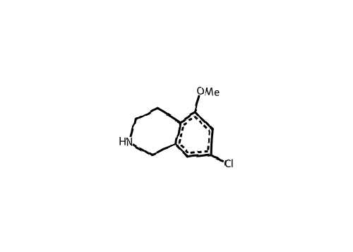 COc1cc(Cl)cc2c1CCNC2